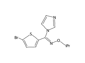 CC(C)ON=C(c1ccc(Br)s1)n1ccnc1